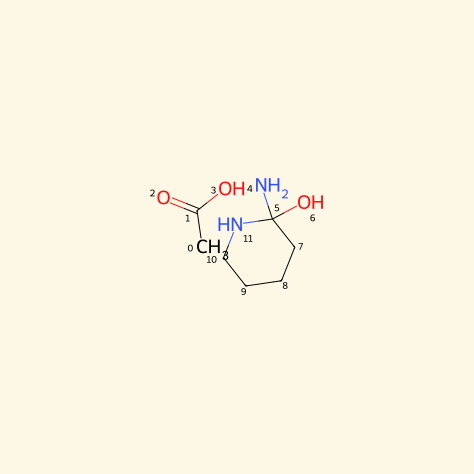 CC(=O)O.NC1(O)CCCCN1